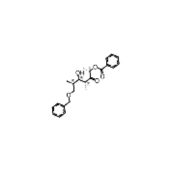 C[C@H](OC(=O)c1ccccc1)C(=O)[C@H](C)[C@H](O)[C@H](C)COCc1ccccc1